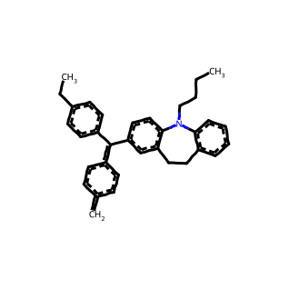 C=c1ccc(=C(c2ccc(CC)cc2)c2ccc3c(c2)CCc2ccccc2N3CCCC)cc1